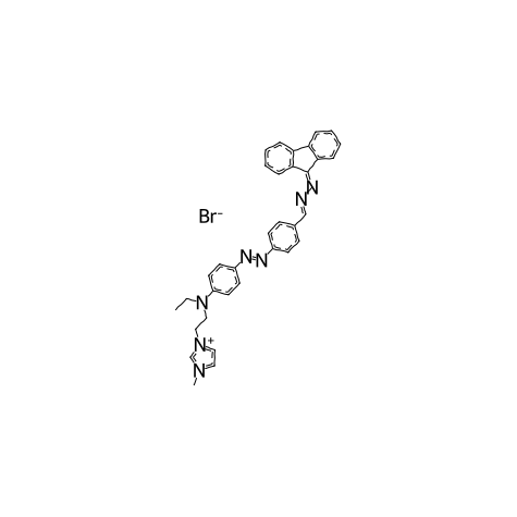 CCN(CC[n+]1ccn(C)c1)c1ccc(N=Nc2ccc(C=NN=C3c4ccccc4-c4ccccc43)cc2)cc1.[Br-]